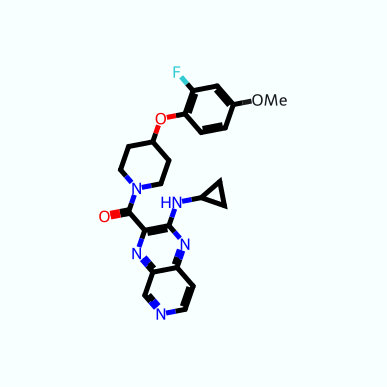 COc1ccc(OC2CCN(C(=O)c3nc4cnccc4nc3NC3CC3)CC2)c(F)c1